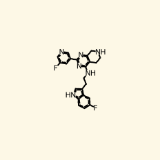 Fc1cncc(-c2nc3c(c(NCCc4c[nH]c5ccc(F)cc45)n2)CCNC3)c1